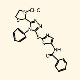 O=CN1CCSC1c1nnc(Sc2ncc(NC(=O)c3ccccc3)s2)n1-c1ccccc1